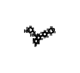 Cc1cnc2c(NCC3CCCNC3)nc(-c3ccc(N4CCOCC4)cc3)cc2n1